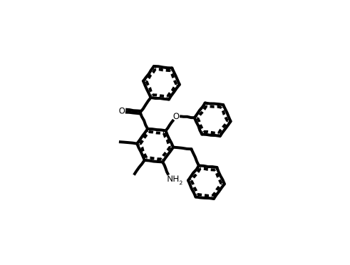 Cc1c(C)c(C(=O)c2ccccc2)c(Oc2ccccc2)c(Cc2ccccc2)c1N